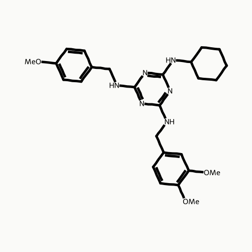 COc1ccc(CNc2nc(NCc3ccc(OC)c(OC)c3)nc(NC3CCCCC3)n2)cc1